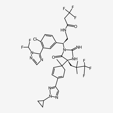 CC(C)(C[C@]1(C2(C)C=CC(c3cnn(C4CC4)n3)=CC2)NC(=N)N([C@H](CNC(=O)CC(F)(F)F)c2ccc(Cl)c(-c3ncnn3C(F)F)c2)C1=O)C(F)(F)F